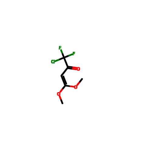 COC(=CC(=O)C(F)(F)Cl)OC